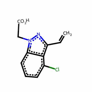 C=Cc1nn(CC(=O)O)c2cccc(Cl)c12